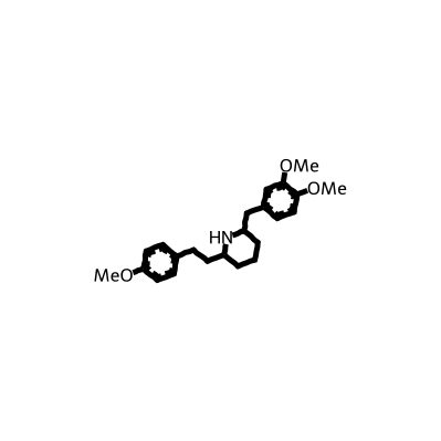 COc1ccc(CCC2CCCC(Cc3ccc(OC)c(OC)c3)N2)cc1